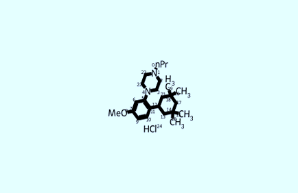 CCCN1CCN(c2cc(OC)ccc2C2CC(C)(C)CC(C)(C)C2)CC1.Cl